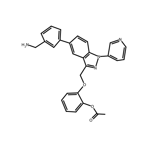 CC(=O)Oc1ccccc1OCc1nn(-c2cccnc2)c2ccc(-c3cccc(CN)c3)cc12